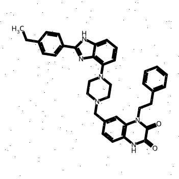 CCc1ccc(-c2nc3c(N4CCN(Cc5ccc6[nH]c(=O)c(=O)n(CCc7ccccc7)c6c5)CC4)cccc3[nH]2)cc1